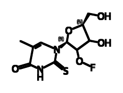 Cc1cn([C@H]2O[C@@H](CO)C(O)C2OF)c(=S)[nH]c1=O